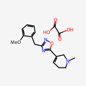 COc1ccccc1Cc1noc(C2=CCCN(C)C2)n1.O=C(O)C(=O)O